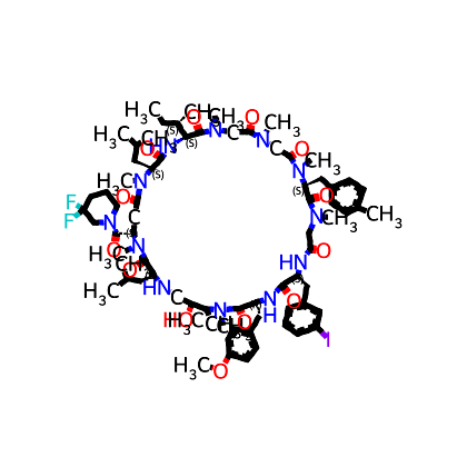 CC[C@H](C)[C@@H]1NC(=O)[C@H](CC(C)C)N(C)C(=O)C[C@@H](C(=O)N2CCCC(F)(F)C2)N(C)C(=O)[C@H](CC(C)C)NCC(O)C(C)(C)N(C)C(=O)[C@@H](Cc2ccc(OC)cc2)NC(=O)[C@H](Cc2cccc(I)c2)NC(=O)CN(C)C(=O)[C@H](Cc2ccc(C)cc2)N(C)C(=O)CN(C)C(=O)CN(C)C1=O